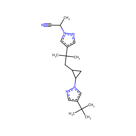 CC(C#N)n1cc(C(C)(C)CC2CC2n2cc(C(C)(C)C)cn2)cn1